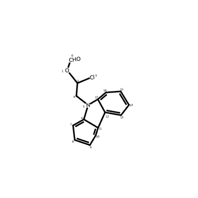 O=COC(Cl)Cn1c2ccccc2c2ccccc21